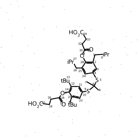 CC(C)Cc1cc(SC(C)(C)Sc2cc(C(C)(C)C)c(OC(=O)CCC(=O)O)c(C(C)(C)C)c2)cc(CC(C)C)c1OC(=O)CCC(=O)O